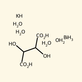 O.O.O.O.O=C(O)C(O)C(O)C(=O)O.[BiH3].[KH]